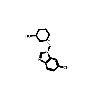 N#Cc1ccc2ncn(C[C@H]3CCCC(O)C3)c2c1